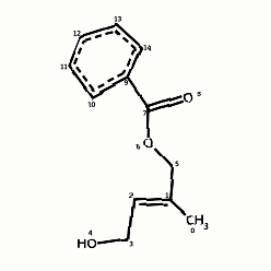 CC(=CCO)COC(=O)c1ccccc1